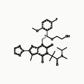 COc1ccc(F)cc1[C@@H](Cn1c(=O)n(C(C)(C)C(=O)N(C)C(C)C)c(=O)c2c(C)c(-n3nccn3)sc21)OCCO